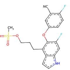 CS(=O)(=O)OCCCc1c(Oc2ccc(F)c(C#N)c2)c(F)cc2[nH]ccc12